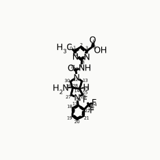 Cc1cc(C(=O)O)nc(NC(=O)N2C[C@@H]3CN(c4ccccc4C(F)(F)F)C[C@]3(N)C2)n1